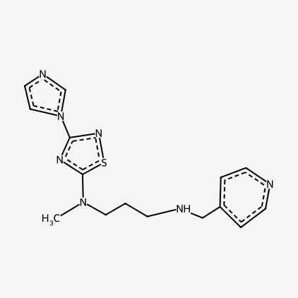 CN(CCCNCc1ccncc1)c1nc(-n2ccnc2)ns1